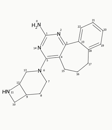 Nc1nc2c(c(N3CCC4CNC4C3)n1)CCCc1ccccc1-2